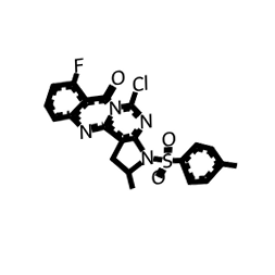 Cc1ccc(S(=O)(=O)N2c3nc(Cl)n4c(=O)c5c(F)cccc5nc4c3CC2C)cc1